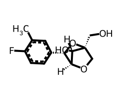 Cc1cc([C@@H]2O[C@@]3(CO)CO[C@@H]2[C@@H]3O)ccc1F